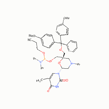 COc1ccc(C(OC[C@@]2(COP(OCCC#N)N(C(C)C)C(C)C)CN(C(C)C)C[C@H](n3cc(C)c(=O)[nH]c3=O)O2)(c2ccccc2)c2ccc(OC)cc2)cc1